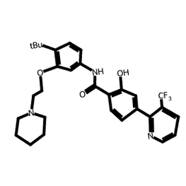 CC(C)(C)c1ccc(NC(=O)c2ccc(-c3ncccc3C(F)(F)F)cc2O)cc1OCCN1CCCCC1